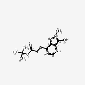 Cn1nc2c(SCC(=O)OC(C)(C)C)ncnc2c1O